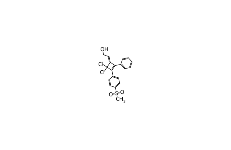 CS(=O)(=O)c1ccc(C2=C(c3ccccc3)C(=CCO)C2(Cl)Cl)cc1